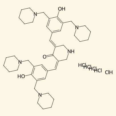 Cl.Cl.Cl.Cl.Cl.O=C1C(=Cc2cc(CN3CCCCC3)c(O)c(CN3CCCCC3)c2)CNCC1=Cc1cc(CN2CCCCC2)c(O)c(CN2CCCCC2)c1